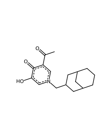 CC(=O)c1cn(CC2CC3CCCC(C3)C2)cc(O)c1=O